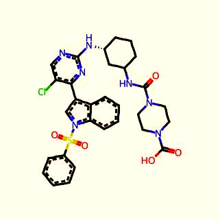 O=C(O)N1CCN(C(=O)NC2CCC[C@@H](Nc3ncc(Cl)c(-c4cn(S(=O)(=O)c5ccccc5)c5ccccc45)n3)C2)CC1